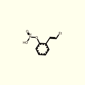 CCC=Cc1ccccc1O[PH](=O)O